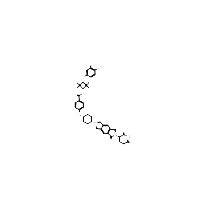 CC1(C)[C@H](NC(=O)c2ccc(N[C@H]3CC[C@H](N4Cc5cc6c(cc5C4)C(=O)N(C4CCC(=O)NC4=O)C6=O)CC3)cc2)C(C)(C)[C@H]1Oc1ccc(C#N)c(Cl)c1